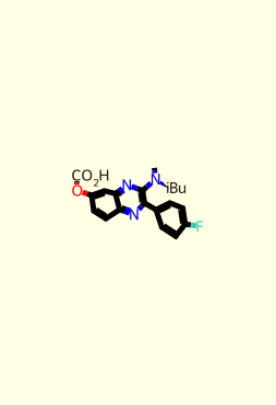 CC[C@H](C)N(C)c1nc2cc(OC(=O)O)ccc2nc1-c1ccc(F)cc1